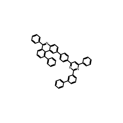 c1ccc(-c2cccc(-c3nc(-c4ccccc4)cc(-c4ccc(-c5ccc6nc(-c7ccccc7)c7cccc(-c8ccccc8)c7c6c5)cc4)n3)c2)cc1